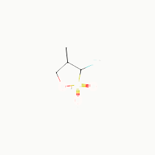 CC1COS(=O)(=O)C1F